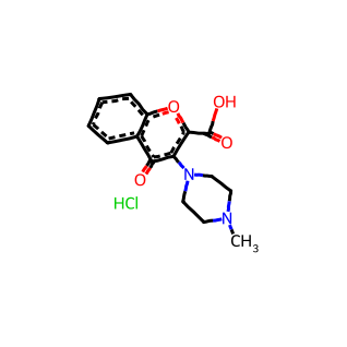 CN1CCN(c2c(C(=O)O)oc3ccccc3c2=O)CC1.Cl